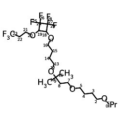 CC(C)OCCCCOCCC(C)(C)OCCCCOC1C(OCCC(F)(F)F)C(F)(F)C1(F)F